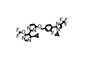 Fc1cc(COc2ccnc(-c3c(OC(F)F)ncnc3C3CC3)n2)ccc1-c1nc(C(F)(F)F)cn1C1CC1